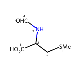 CSCC(N[C]=O)C(=O)O